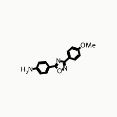 COc1ccc(-c2noc(-c3ccc(N)cc3)n2)cc1